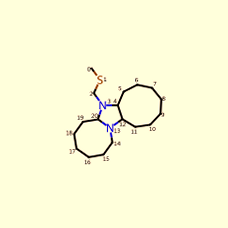 CSCN1C2CCCCCCCC2N2CCCCCCC21